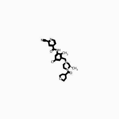 Cc1c(CN2CCN(C(=O)C3CCOCC3)[C@@H](C)C2)cc(Cl)cc1NC(=O)c1ccnc(C#N)c1